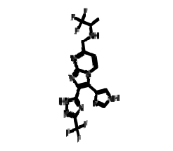 CC(NCc1ccn2c(-c3c[nH]cn3)c(-c3nc(C(F)(F)F)n[nH]3)nc2n1)C(F)(F)F